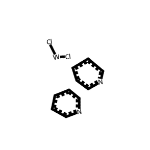 [Cl][W][Cl].c1ccncc1.c1ccncc1